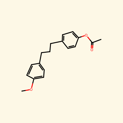 COc1ccc(CCCc2ccc(OC(C)=O)cc2)cc1